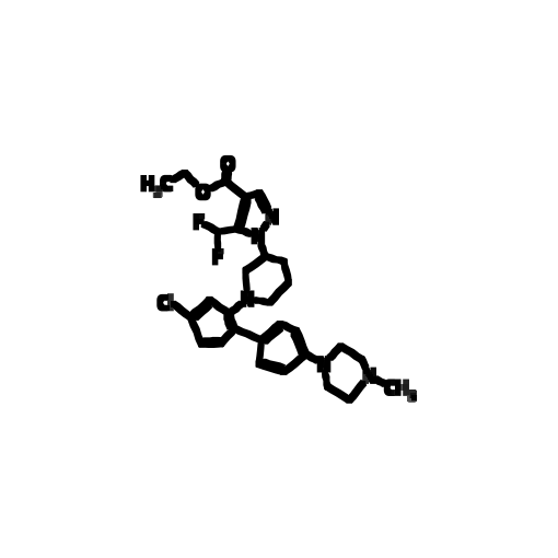 CCOC(=O)c1cnn(C2CCCN(c3cc(Cl)ccc3-c3ccc(N4CCN(C)CC4)cc3)C2)c1C(F)F